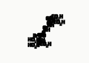 O=C(O)CC[C@@H](NC(=O)N[C@H](CCCCN(Cc1ccc(Br)cc1)C(=O)c1ccc(CNC(=O)CCCCNC(=O)CN2CCN(CC(=O)O)CCN(CC(=O)O)CCN(CC(=O)O)CC2)cc1)C(=O)O)C(=O)O